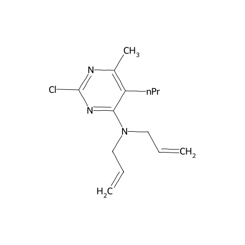 C=CCN(CC=C)c1nc(Cl)nc(C)c1CCC